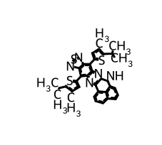 Cc1cc(-c2c3c(c(-c4cc(C)c(C(C)C)s4)c4nc5c(nc24)C(=N)c2cccc4cccc-5c24)N=S=N3)sc1C(C)C